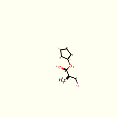 C=C(CI)C(=O)OC1CCCC1